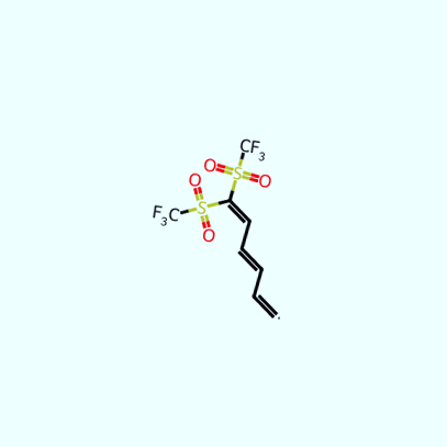 [CH]=CC=CC=C(S(=O)(=O)C(F)(F)F)S(=O)(=O)C(F)(F)F